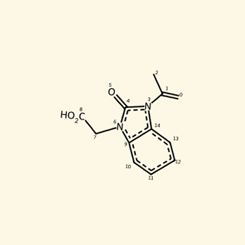 C=C(C)n1c(=O)n(CC(=O)O)c2ccccc21